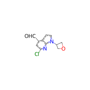 O=Cc1cc(Cl)nc2c1ccn2C1COC1